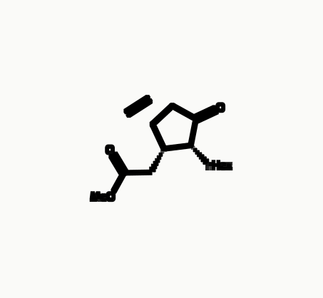 C=C.CCCCCC[C@H]1C(=O)CC[C@H]1CC(=O)OC